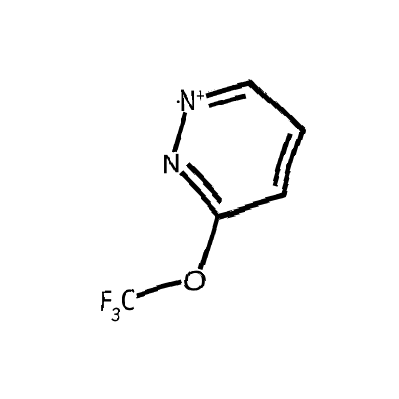 FC(F)(F)OC1=N[N+]=CC=C1